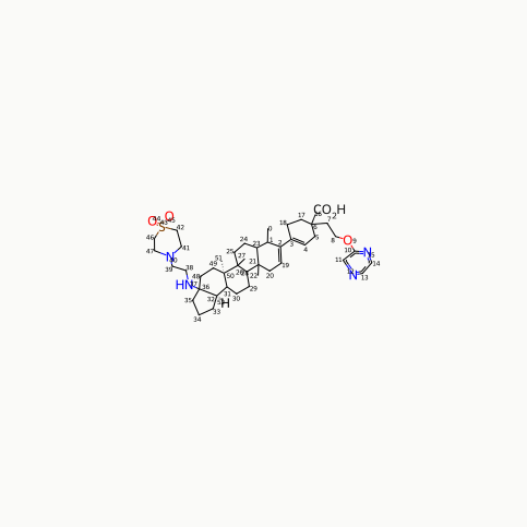 CC1C(C2=CCC(CCOc3cnccn3)(C(=O)O)CC2)=CCC2(C)C1CCC1(C)C2CCC2[C@H]3CCCC3(NCCN3CCS(=O)(=O)CC3)CC[C@]21C